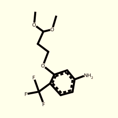 COC(CCOc1cc(N)ccc1C(F)(F)F)OC